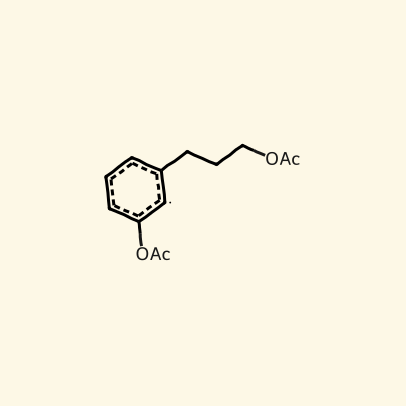 CC(=O)OCCCc1[c]c(OC(C)=O)ccc1